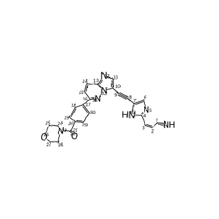 N=C/C=C\c1ncc(C#Cc2cnc3ccc(-c4ccc(C(=O)N5CCOCC5)cc4)nn23)[nH]1